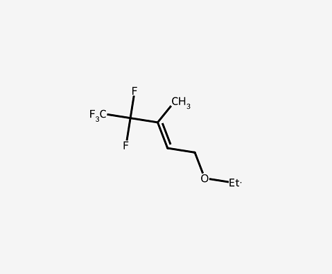 C[CH]OC/C=C(\C)C(F)(F)C(F)(F)F